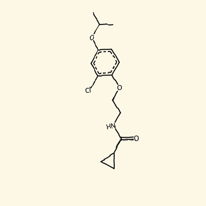 CC(C)Oc1ccc(OCCNC(=O)C2CC2)c(Cl)c1